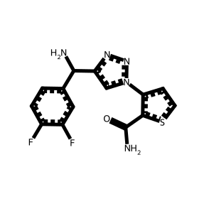 NC(=O)c1sccc1-n1cc(C(N)c2ccc(F)c(F)c2)nn1